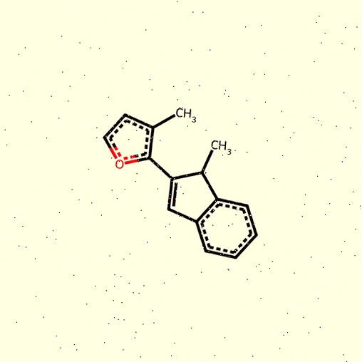 C[C]1C(c2occc2C)=Cc2ccccc21